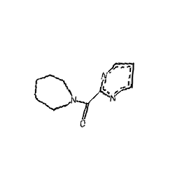 O=C(c1ncccn1)N1CCCCC1